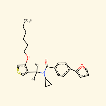 [2H]C([2H])(c1cscc1OCCCCCC(=O)O)N(C(=O)c1ccc(-c2ccco2)cc1)C1CC1